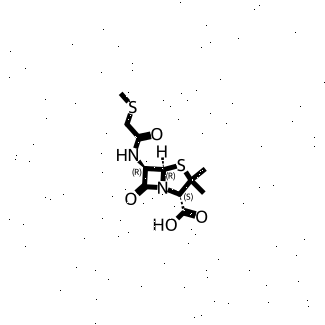 CSCC(=O)N[C@@H]1C(=O)N2[C@@H]1SC(C)(C)[C@@H]2C(=O)O